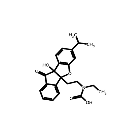 CCN(CCC12Oc3cc(C(C)C)ccc3C1(O)C(=O)c1ccccc12)C(=O)O